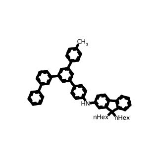 CCCCCCC1(CCCCCC)c2ccccc2-c2ccc(Nc3ccc(-c4cc(-c5ccc(C)cc5)cc(-c5cccc(-c6ccccc6)c5)c4)cc3)cc21